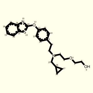 OCCOCCN(CCc1ccc(Oc2nc3ccccc3s2)cc1)CC1CC1